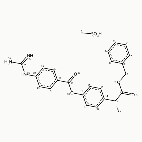 CS(=O)(=O)O.C[C@@H](C(=O)OCc1ccccc1)c1ccc(OC(=O)c2ccc(NC(=N)N)cc2)cc1